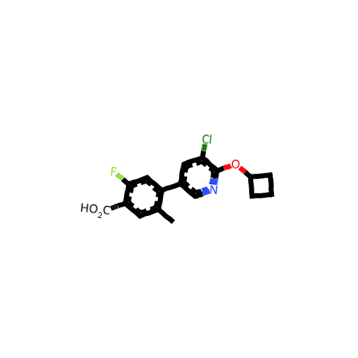 Cc1cc(C(=O)O)c(F)cc1-c1cnc(OC2CCC2)c(Cl)c1